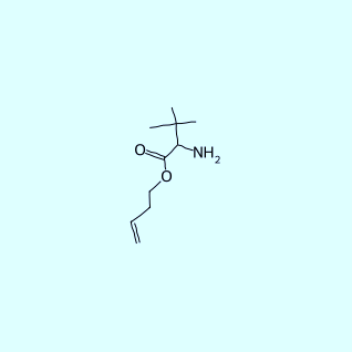 C=CCCOC(=O)C(N)C(C)(C)C